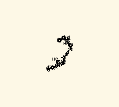 Cc1ncsc1-c1ccc(C(C)NC(=O)[C@@H]2C[C@@H](O)CN2C(=O)C(NC(=O)CCOCCOCCNC(=O)c2cncc(Nc3ncc(Cl)c(-c4cccc(-c5ccccc5)c4)n3)c2)C(C)(C)C)cc1